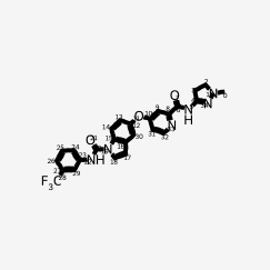 CN1CCC(NC(=O)c2cc(Oc3ccc4c(ccn4C(=O)Nc4cccc(C(F)(F)F)c4)c3)ccn2)=N1